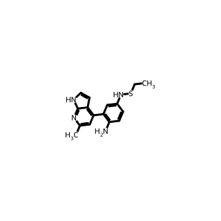 CCSNc1ccc(N)c(-c2cc(C)nc3[nH]ccc23)c1